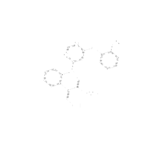 CC=C(C(=O)OC)c1ccccc1Oc1cc(Oc2ccccc2C#N)ncn1